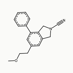 COCCc1cc2c(c(-c3ccccc3)c1)CN(C#N)C2